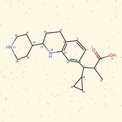 CC(C(=O)O)C(c1ccc2c(c1)NC(C1CCNCC1)CC2)C1CC1